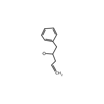 C=CCC([O])Cc1ccccc1